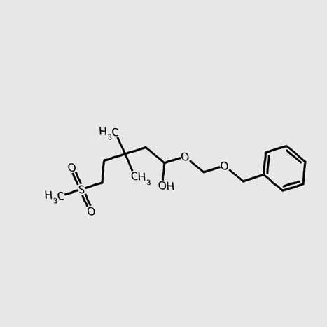 CC(C)(CCS(C)(=O)=O)CC(O)OCOCc1ccccc1